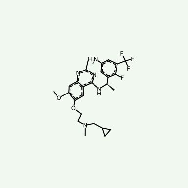 COc1cc2nc(C)nc(N[C@H](C)c3cc(N)cc(C(F)(F)F)c3F)c2cc1OCCN(C)CC1CC1